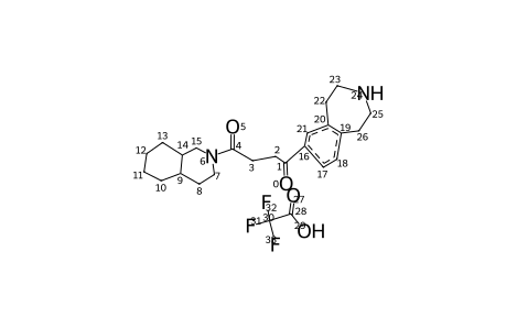 O=C(CCC(=O)N1CCC2CCCCC2C1)c1ccc2c(c1)CCNCC2.O=C(O)C(F)(F)F